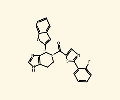 O=C(c1cnc(-c2ccccc2F)s1)N1CCc2[nH]cnc2[C@H]1c1cc2ccccc2o1